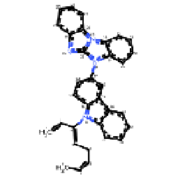 C=C/C(=C/C/C=C\C)n1c2ccccc2c2cc(-n3c4ccccc4n4c5ccccc5nc34)ccc21